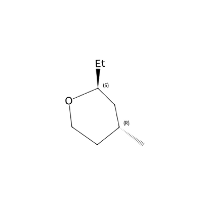 CC[C@H]1C[C@H](C)CCO1